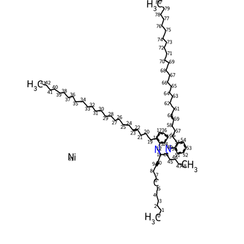 CCCCCCCCCC#CC(=Nc1ccccc1CCCC=CCCCCCCCCCCCCCCCCCCCC)C(CCCC)=Nc1ccccc1CCCC=CCCCCCCCCCCCCCCCCCCCC.[Ni]